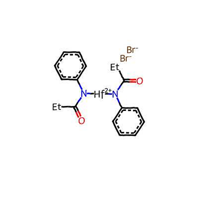 CCC(=O)[N]([Hf+2][N](C(=O)CC)c1ccccc1)c1ccccc1.[Br-].[Br-]